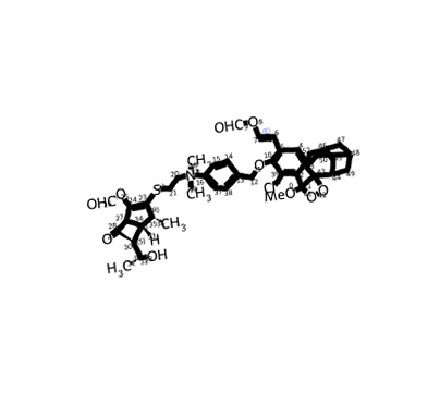 COC1(c2ccc(/C=C/OC=O)c(OCc3ccc([N+](C)(C)CCSC4=C(OC=O)C5C(=O)[C@H]([C@@H](C)O)[C@H]5[C@H]4C)cc3)c2Cl)OOC12C1CC3CC(C1)CC2C3